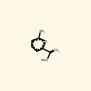 C=C(OC)c1cccc(N)n1